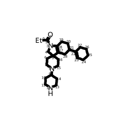 CCC(=O)N1CC2(CCN(C3CCNCC3)CC2)C2=C1CCC(C1=CCCCC1)C2